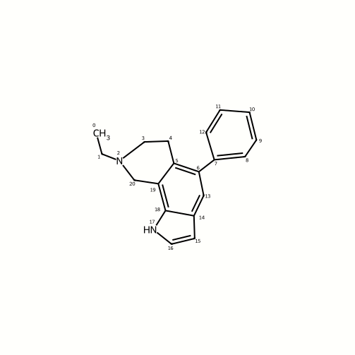 CCN1CCc2c(-c3ccccc3)cc3cc[nH]c3c2C1